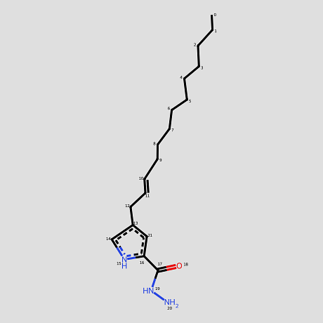 CCCCCCCCCC/C=C/Cc1c[nH]c(C(=O)NN)c1